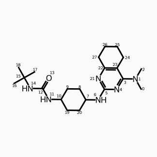 CN(C)c1nc(NC2CCC(NC(=O)NC(C)(C)C)CC2)nc2c1CCCC2